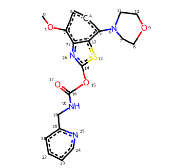 COc1ccc(N2CCOCC2)c2sc(OC(=O)NCc3ccccn3)nc12